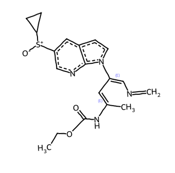 C=N/C=C(\C=C(/C)NC(=O)OCC)n1ccc2cc([S+]([O-])C3CC3)cnc21